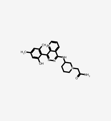 Cc1cc(C)c(-c2nnc(NC3CCCN(CC(N)=O)C3)c3cccnc23)c(O)c1